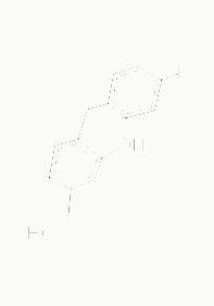 OCc1ccc(Cc2ccc(F)cc2)c(O)c1